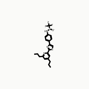 CCCc1cc(CCC)nc(-c2nc(-c3ccc(N[S+]([O-])C(F)(F)F)cc3)cs2)c1